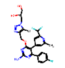 CCc1c(COc2nc(N)nc(-c3ccc(F)cc3)c2-c2cc(C)nc(C(F)F)c2)nnn1C[C@@H](O)CO